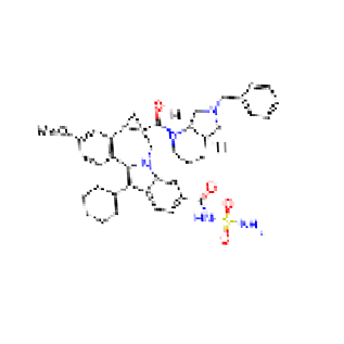 COc1ccc2c(c1)C1CC1(C(=O)N1CCC[C@@H]3CN(Cc4ccccc4)C[C@@H]31)Cn1c-2c(C2CCCCC2)c2ccc(C(=O)NS(N)(=O)=O)cc21